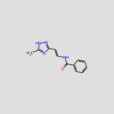 Cc1nc(C=CNC(=O)c2ccccc2)n[nH]1